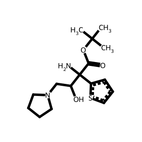 CC(C)(C)OC(=O)C(N)(c1cccs1)C(O)CN1CCCC1